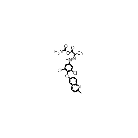 Cc1ccc2cc(Oc3c(Cl)cc(NN=C(C#N)C(=O)OC(N)=O)cc3Cl)ccc2n1